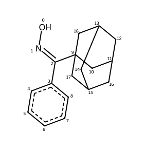 O/N=C(/c1ccccc1)C12CC3CC(CC(C3)C1)C2